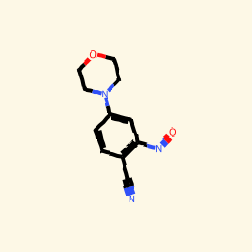 N#Cc1ccc(N2CCOCC2)cc1N=O